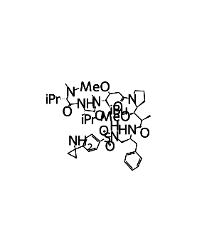 CC[C@H](C)[C@@H]([C@@H](CC(=O)N1CCC[C@H]1[C@H](OC)[C@@H](C)C(=O)N[C@H](CNS(=O)(=O)c1ccc(C2(N)CC2)cc1)Cc1ccccc1)OC)N(C)C(=O)[C@@H](NC(=O)[C@H](C(C)C)N(C)C)C(C)C